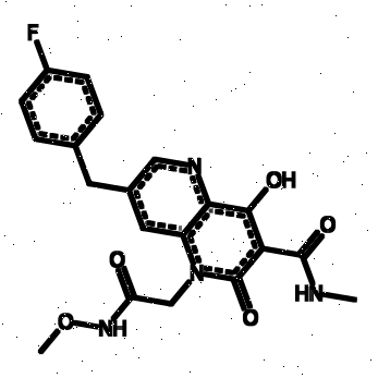 CNC(=O)c1c(O)c2ncc(Cc3ccc(F)cc3)cc2n(CC(=O)NOC)c1=O